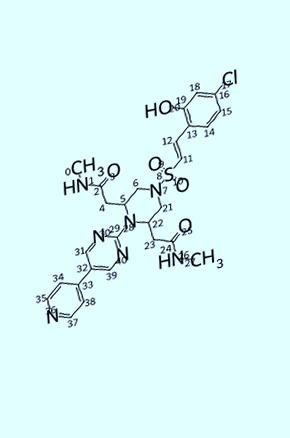 CNC(=O)CC1CN(S(=O)(=O)C=Cc2ccc(Cl)cc2O)CC(CC(=O)NC)N1c1ncc(-c2ccncc2)cn1